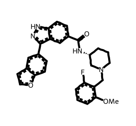 COc1cccc(F)c1CN1CCC[C@@H](NC(=O)c2ccc3[nH]nc(-c4ccc5occc5c4)c3c2)C1